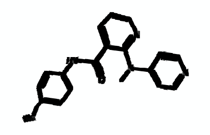 CN(c1ccncc1)c1ncccc1C(=O)Nc1ccc(C(C)(C)C)cc1